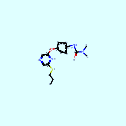 CCCSc1cncc(Oc2ccc(NC(=O)N(C)C)cc2)n1